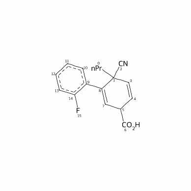 CCCC1(C#N)C=CC(C(=O)O)C=C1c1ccccc1F